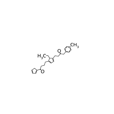 CCC1C(CCCC(=O)C2=CC=CC2)=CC=C1CCC(=O)Cc1ccc(C)cc1